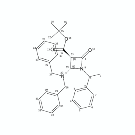 CC(c1ccccc1)N1C(=O)[C@H](C(=O)OC(C)(C)C)[C@H]1N(Cc1ccccc1)Cc1ccccc1